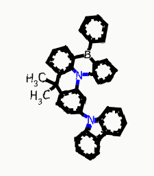 CC1(C)c2ccc(-n3c4ccccc4c4ccccc43)cc2N2c3ccccc3B(c3ccccc3)c3cccc1c32